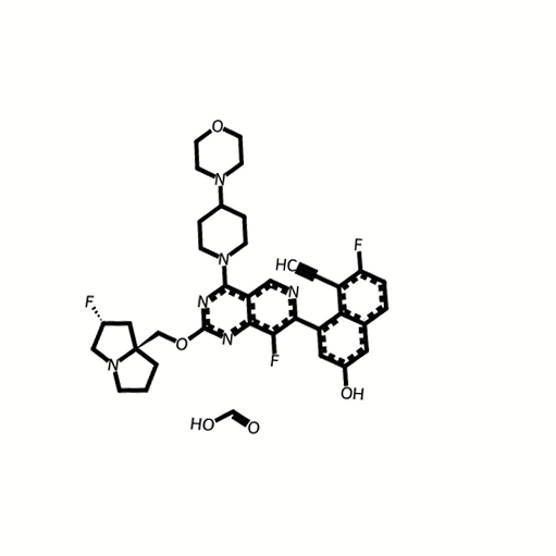 C#Cc1c(F)ccc2cc(O)cc(-c3ncc4c(N5CCC(N6CCOCC6)CC5)nc(OC[C@@]56CCCN5C[C@H](F)C6)nc4c3F)c12.O=CO